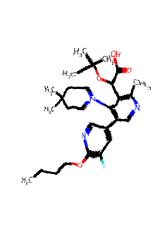 CCCCOc1ncc(-c2cnc(C)c(C(OC(C)(C)C)C(=O)O)c2N2CCC(C)(C)CC2)cc1F